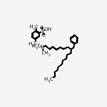 CCCCCCCCCCC(CCCCCCCN(C)C)Cc1ccccc1.Cc1ccc(C)c(S(=O)(=O)O)c1